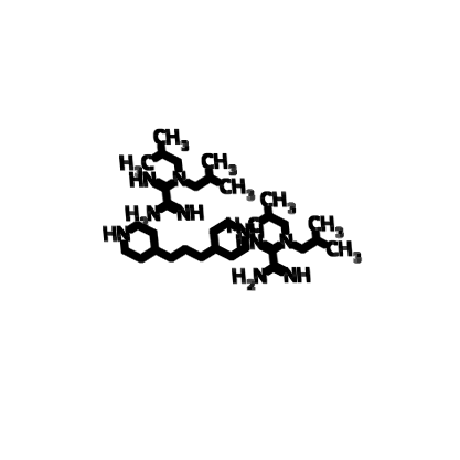 C(CC1CCNCC1)CC1CCNCC1.CC(C)CN(CC(C)C)C(=N)C(=N)N.CC(C)CN(CC(C)C)C(=N)C(=N)N